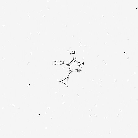 O=Cc1c(C2CC2)n[nH]c1Cl